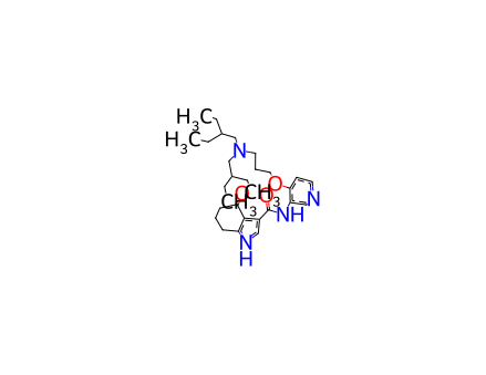 CCC(CC)CN(CCCOc1ccncc1NC(=O)c1c[nH]c2c1C(=O)CCC2)CC(CC)CC